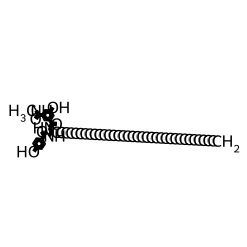 C=C=C=C=C=C=C=C=C=C=C=C=C=C=C=C=C=C=C=C=C=C=C=C=C=C=C=C=C=C=C=C=C=C=C=C(NC(=O)c1ccc(O)cc1)NC(=O)c1cc(O)cc(C(=O)NC)c1